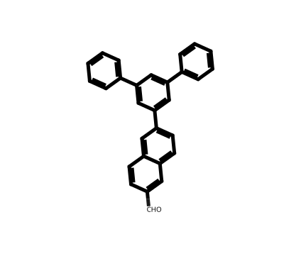 O=Cc1ccc2cc(-c3cc(-c4ccccc4)cc(-c4ccccc4)c3)ccc2c1